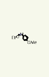 CCO/C=N\c1ccc(OC)cc1